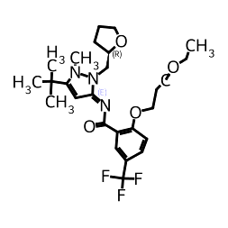 CCOCCCOc1ccc(C(F)(F)F)cc1C(=O)/N=c1\cc(C(C)(C)C)n(C)n1C[C@H]1CCCO1